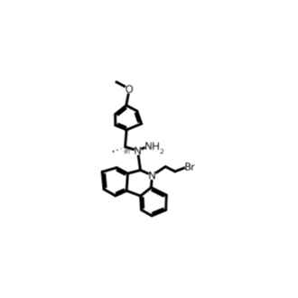 COc1ccc([C@@H](C)N(N)C2c3ccccc3-c3ccccc3N2CCBr)cc1